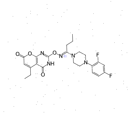 CCC/C(=N\Oc1nc2oc(=O)cc(CC)c2c(=O)[nH]1)N1CCN(c2ccc(F)cc2F)CC1